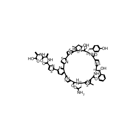 C=C(NC(=O)C(=C)NC(=O)c1csc(-c2ccc3c(n2)-c2csc(n2)-c2csc(n2)[C@@H]2[C@@H](C)C[C@H](O)N2C(=O)[C@H](Cc2ccc(O)cc2)NC(=O)c2csc(n2)[C@H]([C@H](O)c2ccccc2)NC(=O)c2nc(sc2C)[C@H](CC(N)=O)NC(=O)c2csc-3n2)n1)C(=O)O